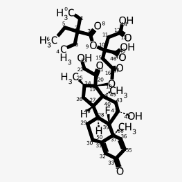 CCC(CC)(CC)C(=O)OC(CC(=O)O)(CC(=O)O[C@]1(C(=O)CO)[C@H](C)C[C@H]2[C@@H]3CCC4=CC(=O)C=C[C@]4(C)[C@@]3(F)[C@@H](O)C[C@@]21C)C(=O)O